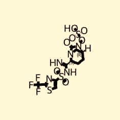 N=C(NS(=O)(=O)c1csc(C(F)(F)F)n1)[C@@H]1CC[C@@H]2CN1C(=O)N2OS(=O)(=O)O